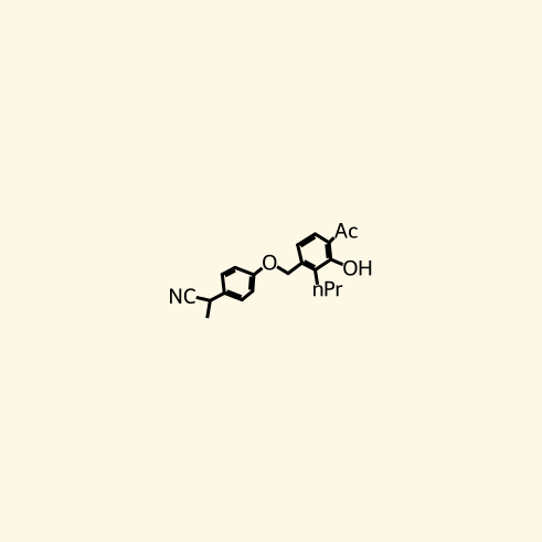 CCCc1c(COc2ccc(C(C)C#N)cc2)ccc(C(C)=O)c1O